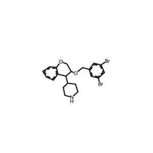 Brc1cc(Br)cc(COC2COc3ccccc3C2C2CCNCC2)c1